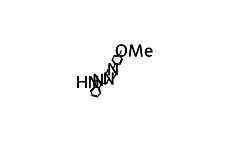 COc1ccc(N2CCN(Cc3n[nH]c4ccccc34)CC2)cc1